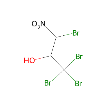 O=[N+]([O-])C(Br)C(O)C(Br)(Br)Br